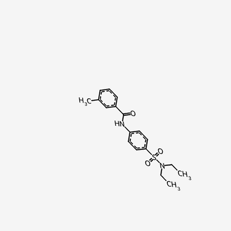 CCN(CC)S(=O)(=O)c1ccc(NC(=O)c2cccc(C)c2)cc1